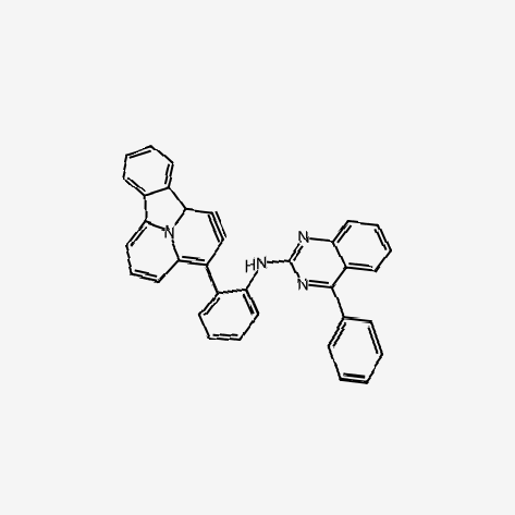 C1#CC2c3ccccc3C3=CC=CC(=C1c1ccccc1Nc1nc(-c4ccccc4)c4ccccc4n1)N32